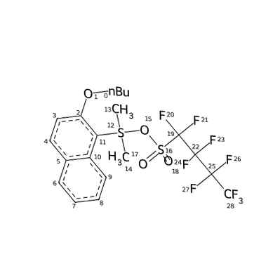 CCCCOc1ccc2ccccc2c1S(C)(C)OS(=O)(=O)C(F)(F)C(F)(F)C(F)(F)C(F)(F)F